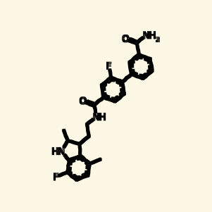 Cc1ccc(F)c2c1C(CCNC(=O)c1ccc(-c3cccc(C(N)=O)c3)c(F)c1)C(C)N2